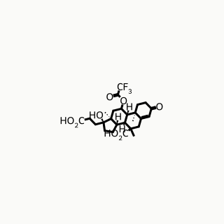 CC1(C(=O)O)CC2=CC(=O)CC[C@]2(C)[C@H]2C(OC(=O)C(F)(F)F)C[C@@]3(C)[C@@H](CC[C@]3(O)CCC(=O)O)[C@@H]21